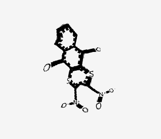 O=c1c2sc([N+](=O)[O-])c([N+](=O)[O-])sc=2c(=O)c2ccccc12